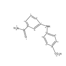 NC(=O)c1cccc(Nc2ccc(C(=O)O)cc2)c1